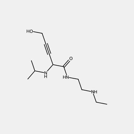 CCNCCNC(=O)C(C#CCO)NC(C)C